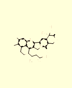 CC[C@@]1(O)C(=O)OCc2c1cc1n(c2=O)Cc2c-1nc1cc(F)c(C)c3c1c2[C@@H]([C@H](CCO)NC(C)=O)CC3